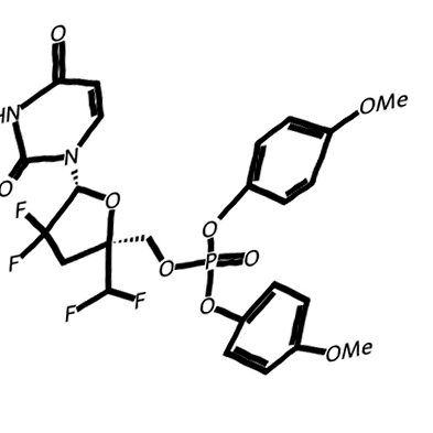 COc1ccc(OP(=O)(OC[C@]2(C(F)F)CC(F)(F)[C@H](n3ccc(=O)[nH]c3=O)O2)Oc2ccc(OC)cc2)cc1